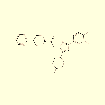 Cc1cc(-c2nc(C3CCC(C)CC3)n(CC(=O)N3CCN(c4ccccn4)CC3)n2)ccc1F